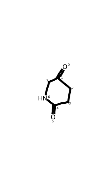 O=C1C[CH]C(=O)NC1